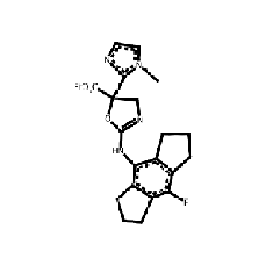 CCOC(=O)C1(c2nccn2C)CN=C(Nc2c3c(c(F)c4c2CCC4)CCC3)O1